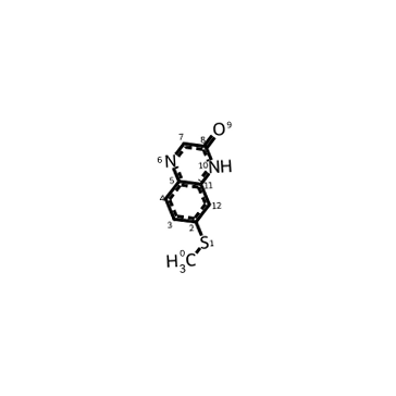 CSc1ccc2ncc(=O)[nH]c2c1